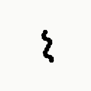 c1ccc(-c2ccc3sc4ccc(-c5ccc6oc7ccc(-c8ccc(-c9ccc(-c%10ccc%11sc%12ccc(-c%13ccc%14oc%15ccccc%15c%14c%13)cc%12c%11c%10)cc9)cc8)cc7c6c5)cc4c3c2)cc1